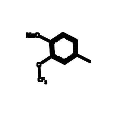 COc1ccc(C)cc1OC(F)(F)F